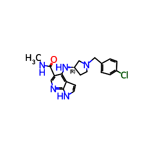 CNC(=O)c1cnc2[nH]ccc2c1N[C@@H]1CCN(Cc2ccc(Cl)cc2)C1